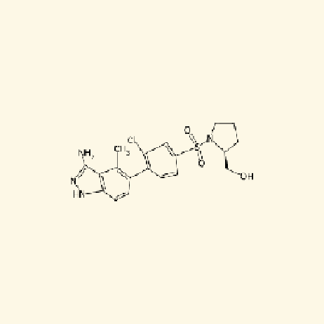 Cc1c(-c2ccc(S(=O)(=O)N3CCC[C@H]3CO)cc2Cl)ccc2[nH]nc(N)c12